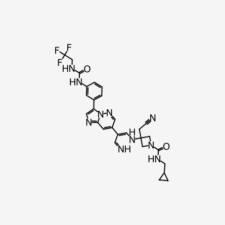 N#CCC1(N/C=C(\C=N)c2cnn3c(-c4cccc(NC(=O)NCC(F)(F)F)c4)cnc3c2)CN(C(=O)NCC2CC2)C1